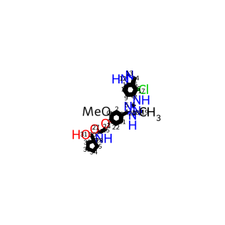 COc1cc(C2N=C(Nc3ccc4[nH]ncc4c3Cl)N(C)N2)ccc1OCC(=O)NC1(CO)CCCC1